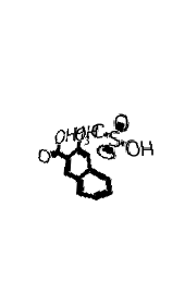 CS(=O)(=O)O.O=C(O)c1cc2ccccc2cc1O